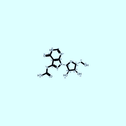 NC(=O)Sc1nn([C@@H]2O[C@H](CO)[C@@H](O)[C@H]2O)c2nc[nH]c(=O)c12